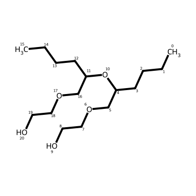 CCCCC(COCCO)OC(CCCC)COCCO